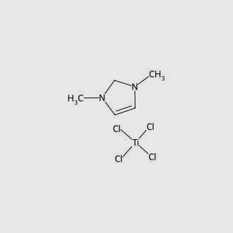 CN1C=CN(C)C1.[Cl][Ti]([Cl])([Cl])[Cl]